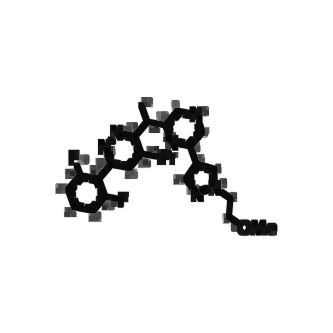 COCCn1cc(-c2cncc(C(C)c3nnc(-c4c(F)cccc4F)cc3C(C)C)n2)cn1